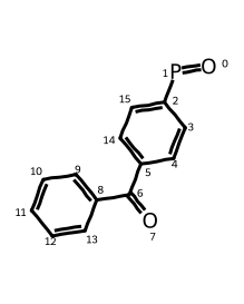 O=Pc1ccc(C(=O)c2ccccc2)cc1